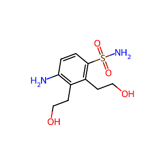 Nc1ccc(S(N)(=O)=O)c(CCO)c1CCO